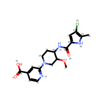 COC1CN(c2cc(C(=O)O)ccn2)CCC1NC(=O)c1cc(Cl)c(C)[nH]1